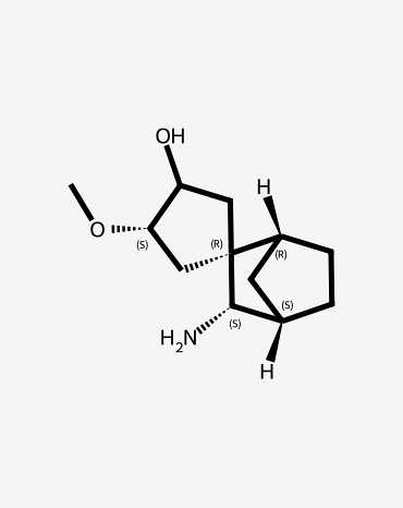 CO[C@H]1C[C@]2(CC1O)[C@@H]1CC[C@@H](C1)[C@@H]2N